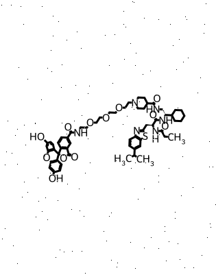 CCC(=O)N[C@@H](Cc1nc2ccc(C(C)C)cc2s1)C(=O)N[C@H](CNC(=O)C1CCN(CCOCCOCCOCCNC(=O)c2ccc3c(c2)C(=O)OC32c3ccc(O)cc3Oc3cc(O)ccc32)CC1)C1CCCCC1